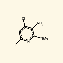 CNc1nc(I)cc(Cl)c1N